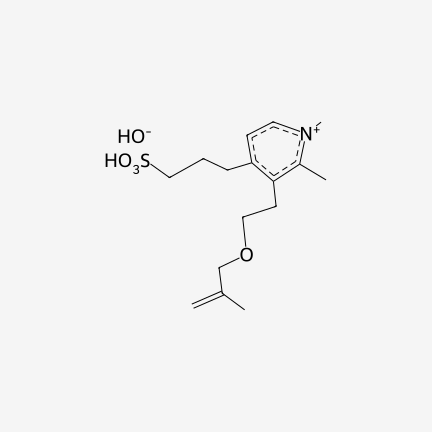 C=C(C)COCCc1c(CCCS(=O)(=O)O)cc[n+](C)c1C.[OH-]